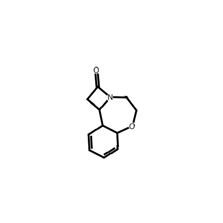 O=C1CC2C3C=CC=CC3OCCN12